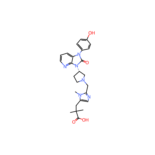 Cn1c(CC(C)(C)C(=O)O)cnc1CN1CC[C@H](n2c(=O)n(-c3ccc(O)cc3)c3cccnc32)C1